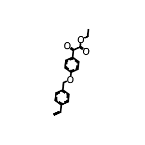 C=Cc1ccc(COc2ccc(C(=O)C(=O)OCC)cc2)cc1